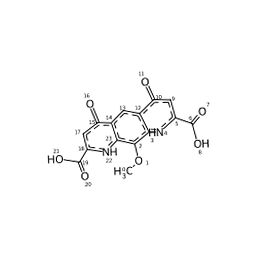 COc1c2[nH]c(C(=O)O)cc(=O)c2cc2c(=O)cc(C(=O)O)[nH]c12